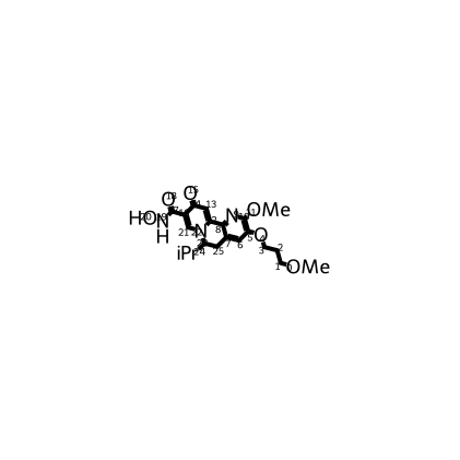 COCCCOc1cc2c(nc1OC)-c1cc(=O)c(C(=O)NO)cn1C(C(C)C)C2